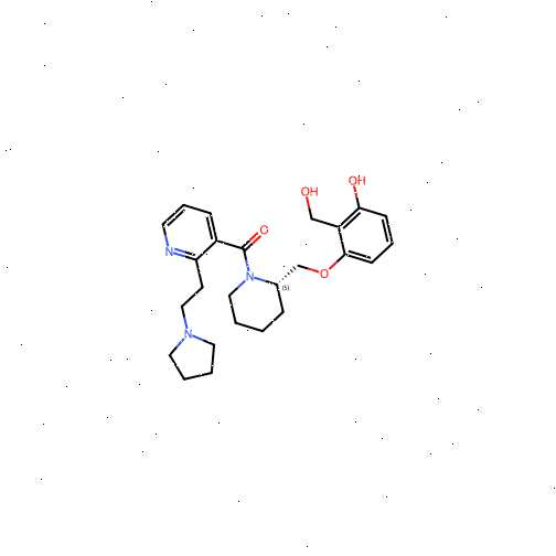 O=C(c1cccnc1CCN1CCCC1)N1CCCC[C@H]1COc1cccc(O)c1CO